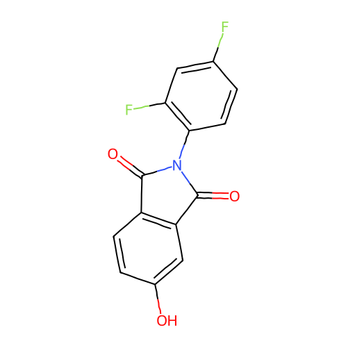 O=C1c2ccc(O)cc2C(=O)N1c1ccc(F)cc1F